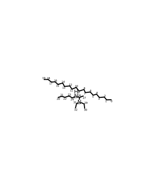 CCCCCCCCCCCCCCCCCCCC.CCCCCNC(C)N(CC)CC